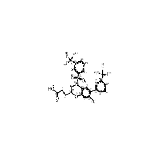 O=C(O)CC[C@H]1CN(S(=O)(=O)c2cccc(C(F)(F)F)c2)c2cc(-c3cccc(C(F)(F)F)n3)c(Cl)cc2O1